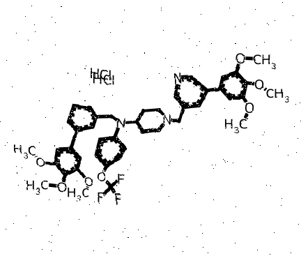 COc1cc(-c2cncc(CN3CCC(N(Cc4cccc(-c5cc(OC)c(OC)c(OC)c5)c4)c4ccc(OC(F)(F)F)cc4)CC3)c2)cc(OC)c1OC.Cl.Cl